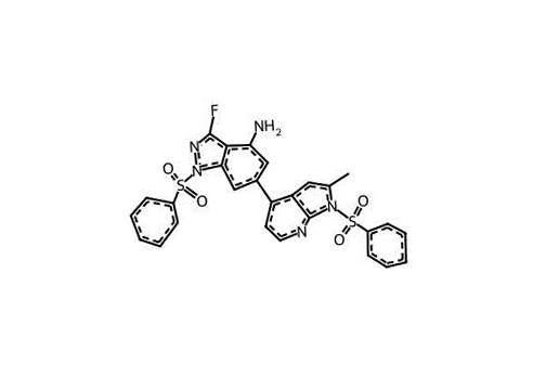 Cc1cc2c(-c3cc(N)c4c(F)nn(S(=O)(=O)c5ccccc5)c4c3)ccnc2n1S(=O)(=O)c1ccccc1